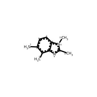 Cc1c([SiH3])ccc2c1nc(C)n2C